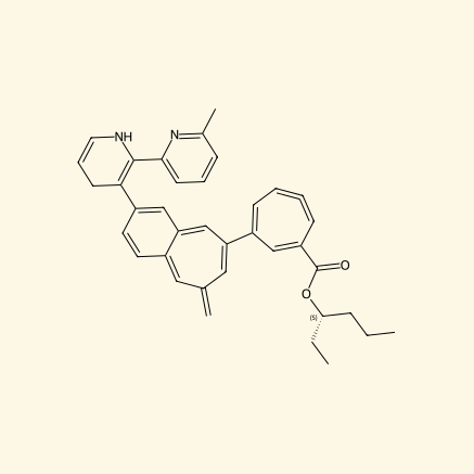 C=C1C=C(C2=CC=C=CC(C(=O)O[C@@H](CC)CCC)=C2)C=c2cc(C3=C(c4cccc(C)n4)NC=CC3)ccc2=C1